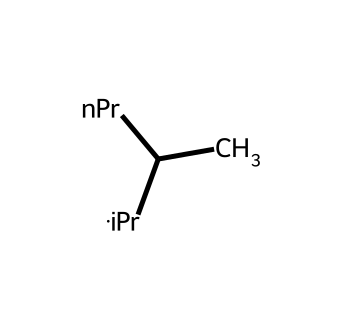 CCCC(C)[C](C)C